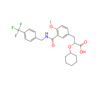 COc1ccc(CC(OC2CCCCC2)C(=O)O)cc1C(=O)NCc1ccc(C(F)(F)F)cc1